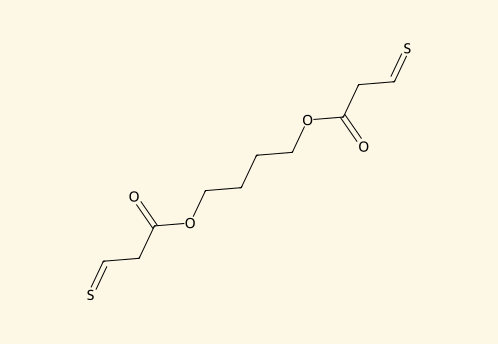 O=C(CC=S)OCCCCOC(=O)CC=S